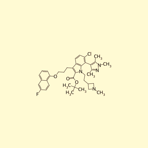 Cc1nn(C)c(C)c1-c1c(Cl)ccc2c(CCCOc3cccc4cc(F)ccc34)c(C(=O)OC(C)(C)C)n(CCC3CN(C)C3)c12